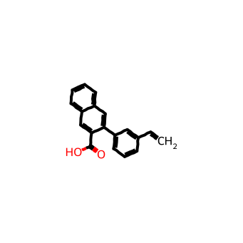 C=Cc1cccc(-c2cc3ccccc3cc2C(=O)O)c1